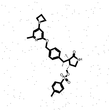 Cc1ccc(S(=O)(=O)OC[C@H]2CNC(=O)[C@]2(C)[C@H](C)c2ccc(COc3cc(N4CCC4)cc(C)n3)cc2)cc1